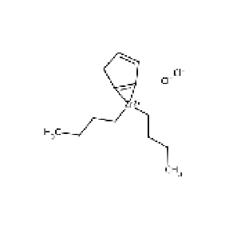 CCC[CH2][Zr+2]1([CH2]CCC)[C]2=[C]1CC=C2.[Cl-].[Cl-]